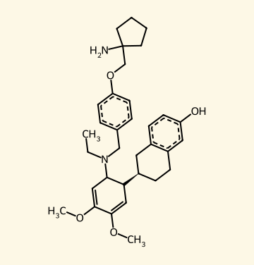 CCN(Cc1ccc(OCC2(N)CCCC2)cc1)C1C=C(OC)C(OC)=CC1[C@@H]1CCc2cc(O)ccc2C1